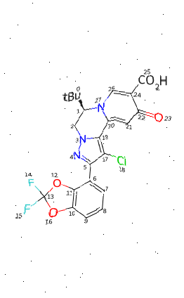 CC(C)(C)[C@@H]1Cn2nc(-c3cccc4c3OC(F)(F)O4)c(Cl)c2-c2cc(=O)c(C(=O)O)cn21